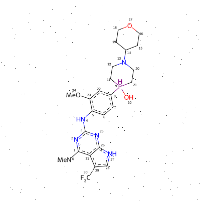 CNc1nc(Nc2ccc([PH]3(O)CCN(C4CCOCC4)CC3)cc2OC)nc2[nH]cc(C(F)(F)F)c12